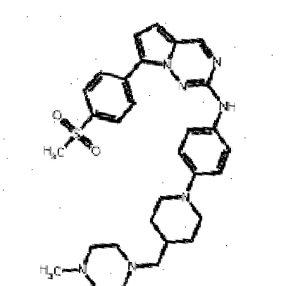 CN1CCN(CC2CCN(c3ccc(Nc4ncc5ccc(-c6ccc(S(C)(=O)=O)cc6)n5n4)cc3)CC2)CC1